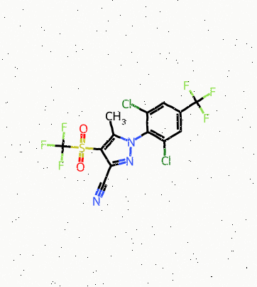 Cc1c(S(=O)(=O)C(F)(F)F)c(C#N)nn1-c1c(Cl)cc(C(F)(F)F)cc1Cl